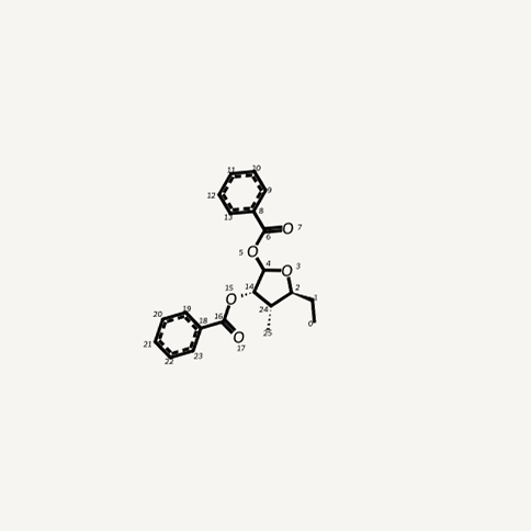 CC[C@@H]1OC(OC(=O)c2ccccc2)[C@@H](OC(=O)c2ccccc2)[C@H]1C